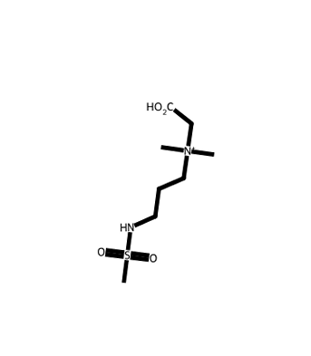 C[N+](C)(CCCNS(C)(=O)=O)CC(=O)O